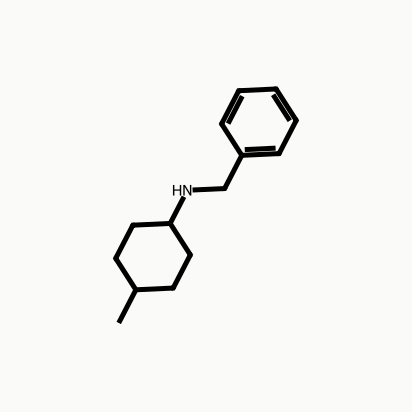 CC1CCC(NCc2ccccc2)CC1